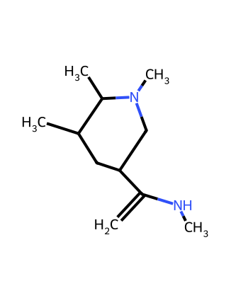 C=C(NC)C1CC(C)C(C)N(C)C1